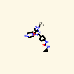 O=C(Nc1ccc(-c2nc(N3C4CNCC3COC4)c3cnn(CC(F)(F)F)c3n2)cc1)NC1CC1